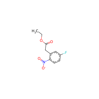 CCOC(=O)Cc1cc(F)ccc1[N+](=O)[O-]